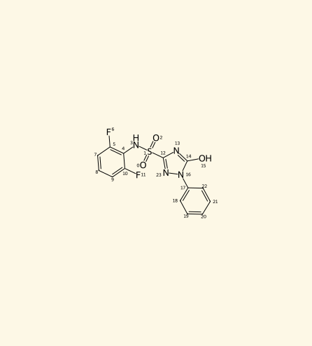 O=S(=O)(Nc1c(F)cccc1F)c1nc(O)n(-c2ccccc2)n1